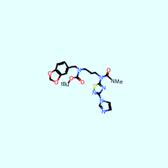 CNC(=O)N(CCCN(Cc1ccc2c(c1)OCO2)C(=O)OC(C)(C)C)c1nc(-n2ccnc2)ns1